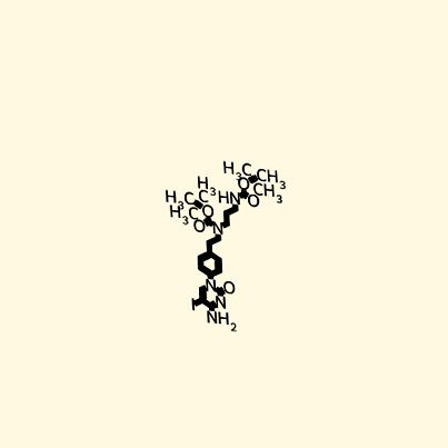 CC(C)(C)OC(=O)NCCCN(CCc1ccc(-n2cc(I)c(N)nc2=O)cc1)C(=O)OC(C)(C)C